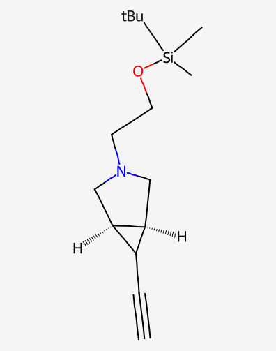 C#CC1[C@H]2CN(CCO[Si](C)(C)C(C)(C)C)C[C@@H]12